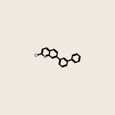 Clc1ccc2ccc(-c3cccc(-c4ccccc4)c3)cc2n1